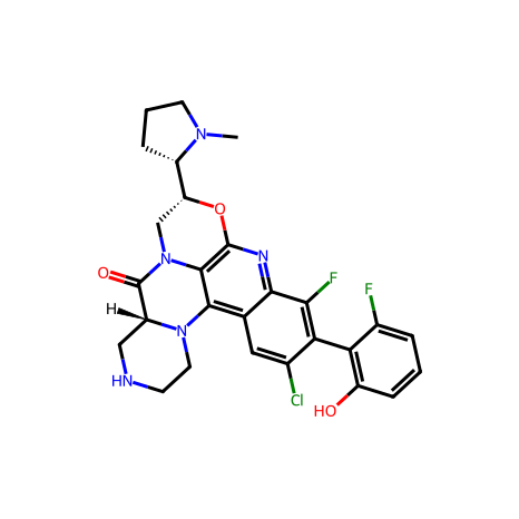 CN1CCC[C@H]1[C@H]1CN2C(=O)[C@H]3CNCCN3c3c2c(nc2c(F)c(-c4c(O)cccc4F)c(Cl)cc32)O1